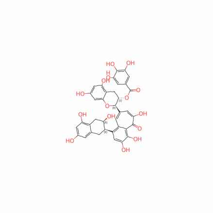 O=C(O[C@H]1Cc2c(O)cc(O)cc2O[C@@H]1c1cc(O)c(=O)c2c(O)c(O)cc([C@H]3Cc4cc(O)cc(O)c4C[C@H]3O)c2c1)c1cc(O)c(O)c(O)c1